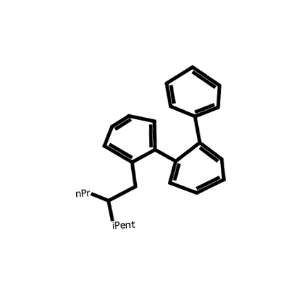 CCCC(C)C(CCC)Cc1ccccc1-c1ccccc1-c1ccccc1